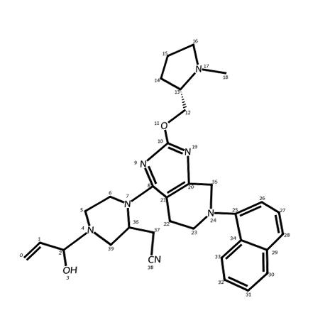 C=CC(O)N1CCN(c2nc(OC[C@@H]3CCCN3C)nc3c2CCN(c2cccc4ccccc24)C3)C(CC#N)C1